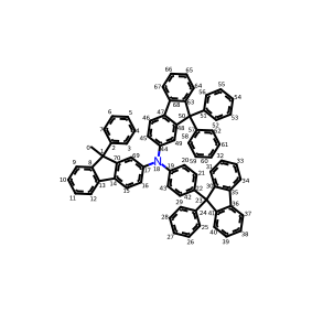 CC1(c2ccccc2)c2ccccc2-c2ccc(N(c3ccc(C4(c5ccccc5)c5ccccc5-c5ccccc54)cc3)c3ccc4c(c3)C(c3ccccc3)(c3ccccc3)c3ccccc3-4)cc21